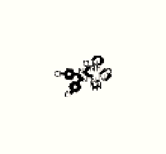 O=C(NN1CCCCC1)c1nc(-c2ccc(Cl)cc2)c(-c2ccc(Cl)cc2)nc1Cn1nnnc1N1CCOCC1